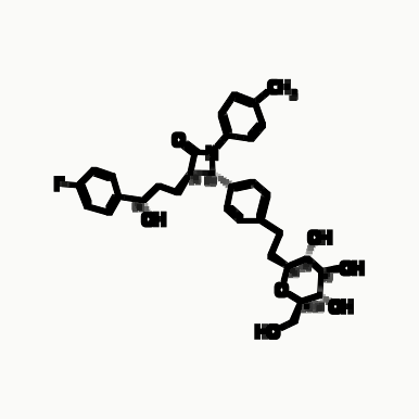 Cc1ccc(N2C(=O)[C@H](CC[C@H](O)c3ccc(F)cc3)[C@H]2c2ccc(CC[C@@H]3O[C@H](CO)[C@@H](O)[C@H](O)[C@H]3O)cc2)cc1